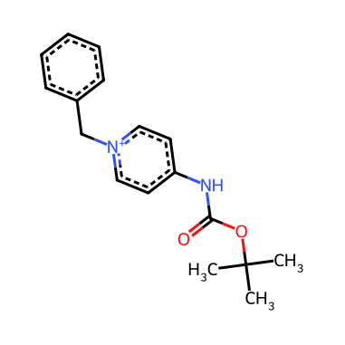 CC(C)(C)OC(=O)Nc1cc[n+](Cc2ccccc2)cc1